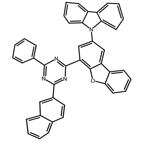 c1ccc(-c2nc(-c3ccc4ccccc4c3)nc(-c3cc(-n4c5ccccc5c5ccccc54)cc4c3oc3ccccc34)n2)cc1